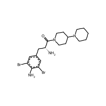 Nc1c(Br)cc(C[C@@H](N)C(=O)N2CCC(N3CCCCC3)CC2)cc1Br